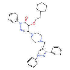 O=c1c(OCCC2CCCCC2)c(N2CCN(Cc3cn(-c4ccccc4)nc3-c3ccccc3)CC2)cnn1-c1ccccc1